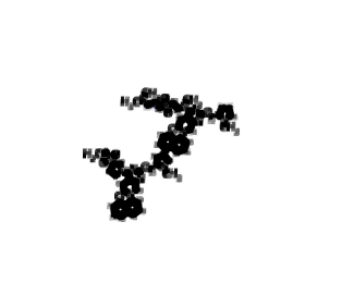 C=CS(=O)(=O)C1CCN(c2nc(OC[C@@H]3CC(c4ccc(Cl)c5c(N6CCc7c(nc(OC[C@@H]8CCCN8C)nc7N(C)CCS(=O)(=O)/C=C/CN(C)C)C6)cccc45)CN3C)nc3c2CCN(c2cccc4cccc(Cl)c24)C3)C1